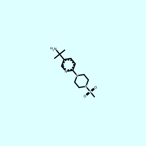 CC(C)(N)c1ccc(N2CCN(S(C)(=O)=O)CC2)nc1